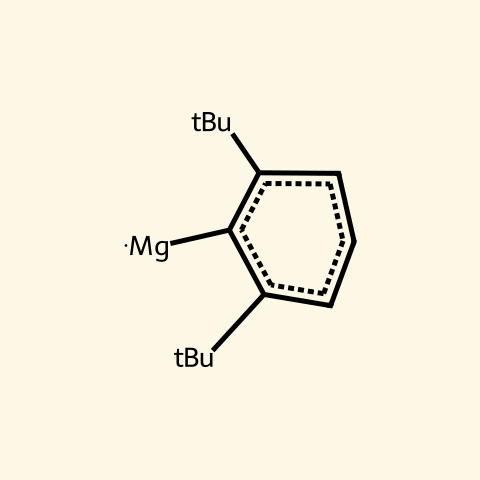 CC(C)(C)c1cccc(C(C)(C)C)[c]1[Mg]